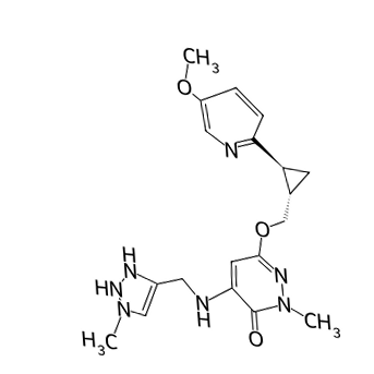 COc1ccc([C@H]2C[C@@H]2COc2cc(NCC3=CN(C)NN3)c(=O)n(C)n2)nc1